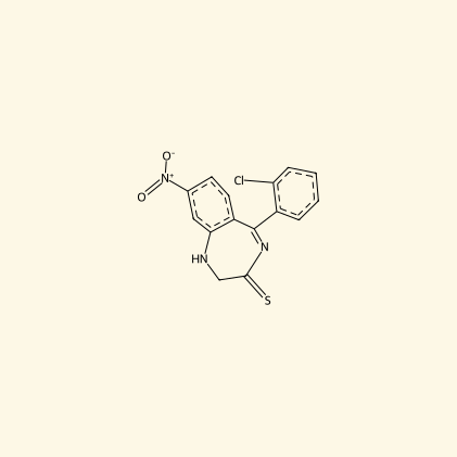 O=[N+]([O-])c1ccc2c(c1)NCC(=S)N=C2c1ccccc1Cl